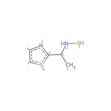 CC(NS)c1nccs1